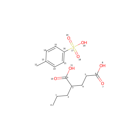 CCCC(CCC(=O)O)C(=O)O.Cc1ccc(S(=O)(=O)O)cc1